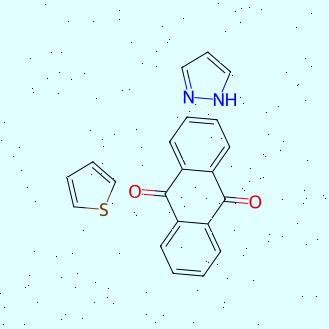 O=C1c2ccccc2C(=O)c2ccccc21.c1ccsc1.c1cn[nH]c1